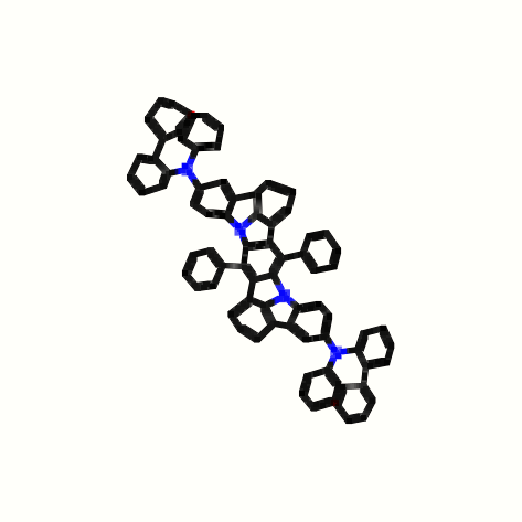 c1ccc(-c2ccccc2N(c2ccccc2)c2ccc3c(c2)c2cccc4c5c(-c6ccccc6)c6c(c(-c7ccccc7)c5n3c24)c2cccc3c4cc(N(c5ccccc5)c5ccccc5-c5ccccc5)ccc4n6c32)cc1